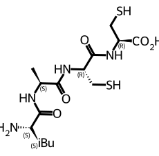 CC[C@H](C)[C@H](N)C(=O)N[C@@H](C)C(=O)N[C@@H](CS)C(=O)N[C@@H](CS)C(=O)O